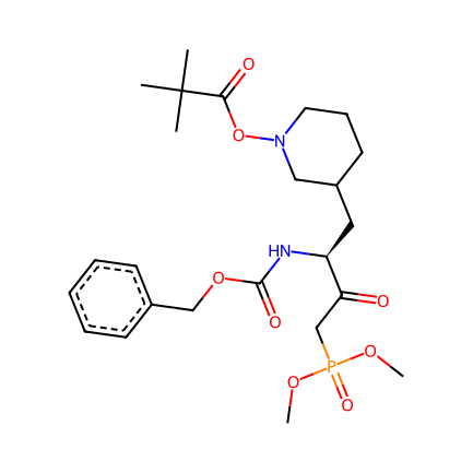 COP(=O)(CC(=O)[C@H](CC1CCCN(OC(=O)C(C)(C)C)C1)NC(=O)OCc1ccccc1)OC